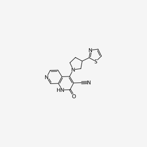 N#Cc1c(N2CCC(c3nccs3)C2)c2ccncc2[nH]c1=O